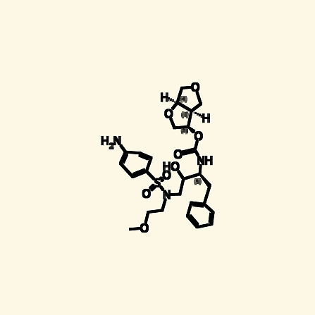 COCCN(CC(O)[C@H](Cc1ccccc1)NC(=O)O[C@H]1CO[C@H]2COC[C@H]21)S(=O)(=O)c1ccc(N)cc1